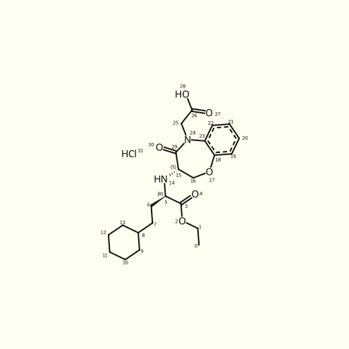 CCOC(=O)[C@@H](CCC1CCCCC1)N[C@H]1COc2ccccc2N(CC(=O)O)C1=O.Cl